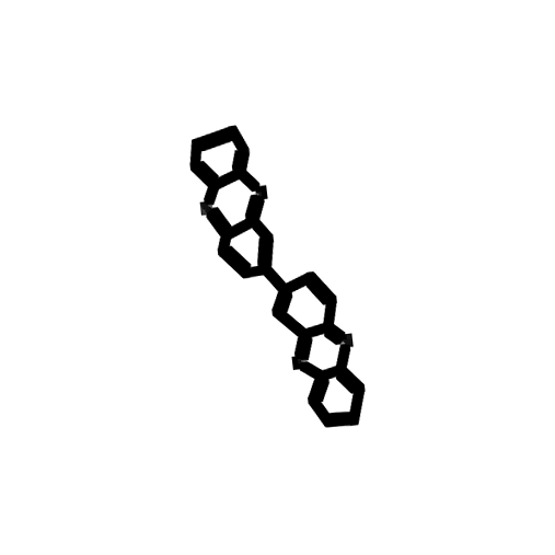 c1ccc2nc3cc(-c4ccc5nc6ccccc6nc5c4)ccc3nc2c1